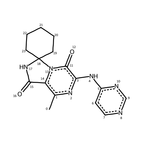 Cc1nc(Nc2ccncn2)c(=O)n2c1C(=O)NC21CCCCC1